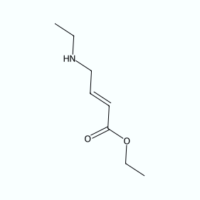 CCNCC=CC(=O)OCC